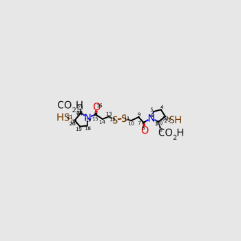 O=C(O)[C@@H]1[C@@H](S)CCN1C(=O)CCSSCCC(=O)N1CC[C@H](S)[C@H]1C(=O)O